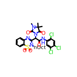 CCCCCCCCN1C(C(C(=O)Nc2cc(Cl)c(Cl)cc2Cl)N2C(=O)N(C)C(C)(C)C2=O)=Nc2ccccc2S1(=O)=O